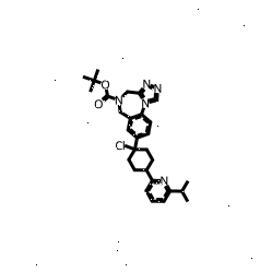 CC(C)c1cccc(C2CCC(Cl)(c3ccc4c(c3)CN(C(=O)OC(C)(C)C)Cc3nncn3-4)CC2)n1